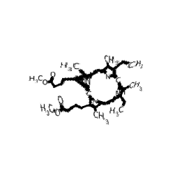 CCC1=C(C)c2cc3[nH]c(cc4nc(cc5[nH]c(cc1n2)c(C)c5CC)C(C)=C4CCCC(=O)OC)c(CCCC(=O)OC)c3C